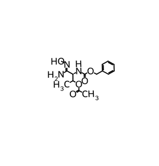 CC(=O)OC(C)[C@H](NC(=O)OCc1ccccc1)C(N)=NO